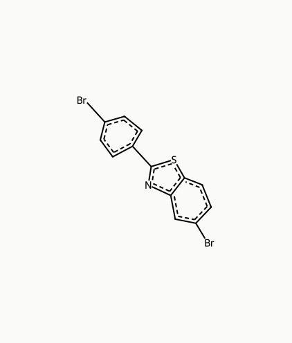 Brc1ccc(-c2nc3cc(Br)ccc3s2)cc1